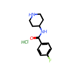 Cl.O=C(NC1CCNCC1)c1ccc(F)cc1